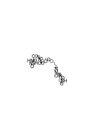 Cc1c(O[C@H]2CC[C@H](CCCC(C)(C)N3CCN(c4cccc5c(C6CCC(=O)NC6=O)nn(C)c45)CC3)CC2)cccc1-c1ccc(N2CCc3cccc(C(=O)Nc4nc5ccccc5s4)c3C2)nc1C(=O)O